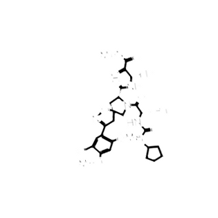 CCC[C@H](NC(=O)[C@@H]1C[C@]2(CC(c3cc(Cl)c(OC)cc3OC)=NO2)CN1C(=O)[C@@H](NC(=O)OC1CCCC1)C(C)(C)C)C(=O)C(=O)NC